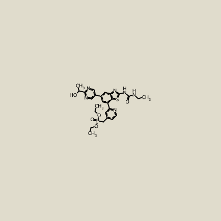 CCNC(=O)Nc1nc2cc(-c3cnc(C(C)O)nc3)cc(-c3cc(CP(=O)(OCC)OCC)ccn3)c2s1